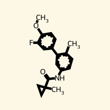 COc1ccc(-c2cc(NC(=O)C3(C)CC3)ccc2C)cc1F